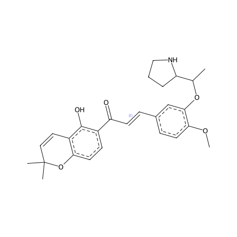 COc1ccc(/C=C/C(=O)c2ccc3c(c2O)C=CC(C)(C)O3)cc1OC(C)C1CCCN1